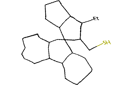 CCC1C2CCCC2C2(C1CS)C1CCCCC1C1CCCCC12